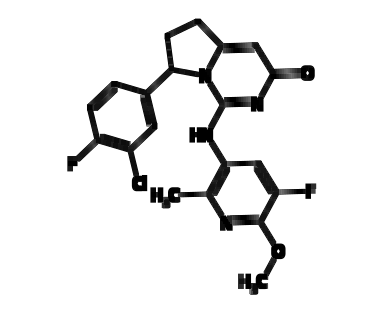 COc1nc(C)c(Nc2nc(=O)cc3n2C(c2ccc(F)c(Cl)c2)CC3)cc1F